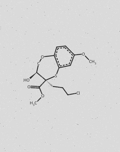 COC(=O)[C@]1(CCCCl)Sc2cc(OC)ccc2OC[C@@H]1O